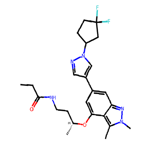 CCC(=O)NCC[C@@H](C)Oc1cc(-c2cnn(C3CCC(F)(F)C3)c2)cc2nn(C)c(C)c12